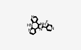 Fc1cnccc1-c1nc2c([nH]1)-c1ccncc1Nc1ncccc1-2